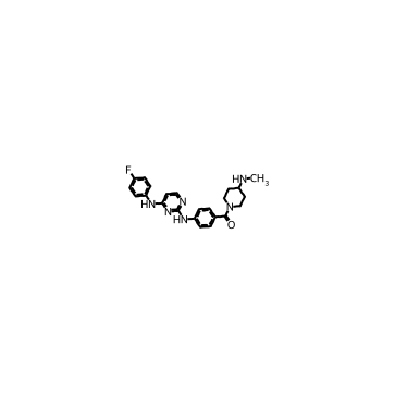 CNC1CCN(C(=O)c2ccc(Nc3nccc(Nc4ccc(F)cc4)n3)cc2)CC1